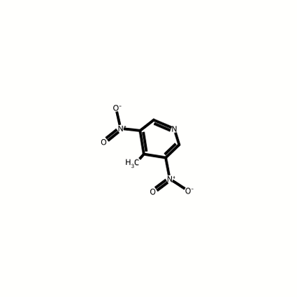 Cc1c([N+](=O)[O-])cncc1[N+](=O)[O-]